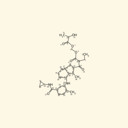 CCN(C(=O)OCOC(=O)C(C)O)C(=O)c1cn2ncnc(Nc3cc(C(=O)NC4CC4)ccc3C)c2c1C